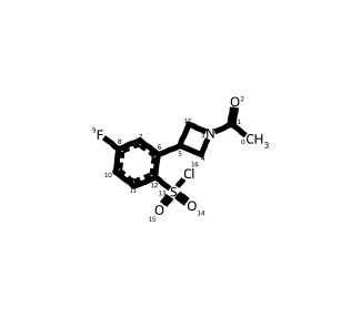 CC(=O)N1CC(c2cc(F)ccc2S(=O)(=O)Cl)C1